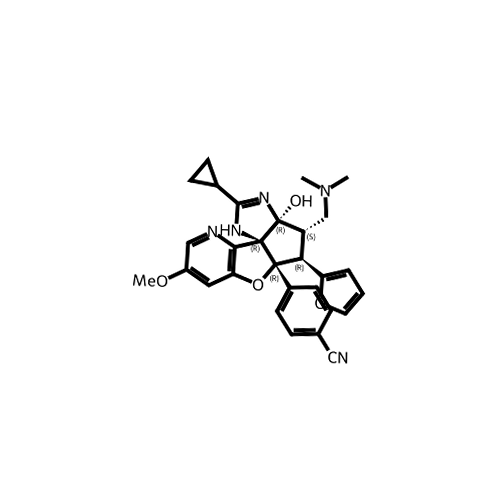 COc1cnc2c(c1)O[C@@]1(c3ccc(C#N)cc3)[C@H](c3ccco3)[C@@H](CN(C)C)[C@]3(O)N=C(C4CC4)N[C@@]231